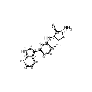 NN1CCC(Nc2nc(-c3c[nH]c4ncccc34)ncc2F)C1=O